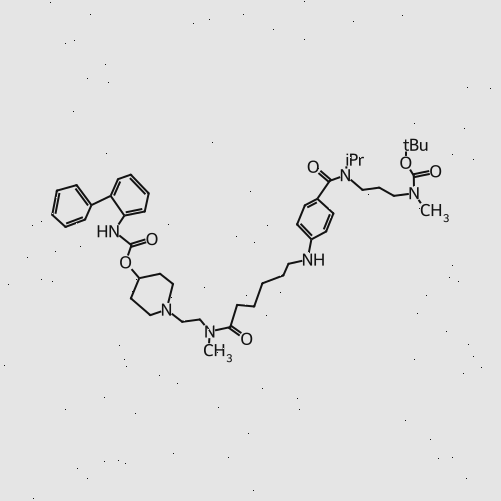 CC(C)N(CCCN(C)C(=O)OC(C)(C)C)C(=O)c1ccc(NCCCCCC(=O)N(C)CCN2CCC(OC(=O)Nc3ccccc3-c3ccccc3)CC2)cc1